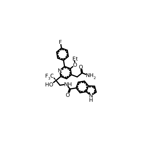 CCOc1c(CC(N)=O)cc([C@@](O)(CNC(=O)c2ccc3cc[nH]c3c2)C(F)(F)F)nc1-c1ccc(F)cc1